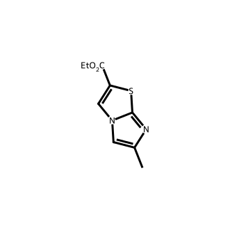 CCOC(=O)c1cn2cc(C)nc2s1